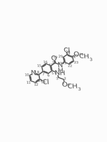 COCCNc1cc(-c2ncccc2Cl)ccc1C(=O)Nc1ccc(OC)c(Cl)c1